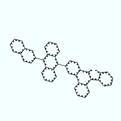 c1ccc2cc(-c3c4ccccc4c(-c4ccc5c(c4)c4ccccc4c4c6ccccc6oc54)c4ccccc34)ccc2c1